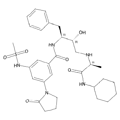 C[C@H](NC[C@@H](O)[C@H](Cc1ccccc1)NC(=O)c1cc(NS(C)(=O)=O)cc(N2CCCC2=O)c1)C(=O)NC1CCCCC1